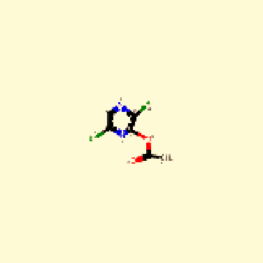 CC(=O)Oc1nc(Br)cnc1Br